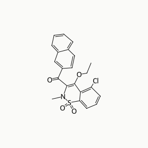 CCOC1=C(C(=O)c2ccc3ccccc3c2)N(C)S(=O)(=O)c2cccc(Cl)c21